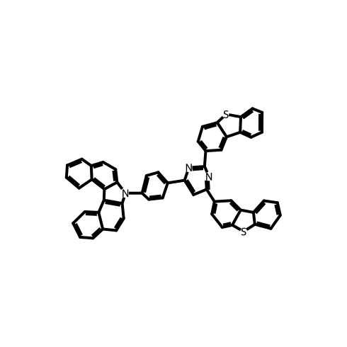 c1ccc2c(c1)ccc1c2c2c3ccccc3ccc2n1-c1ccc(-c2cc(-c3ccc4sc5ccccc5c4c3)nc(-c3ccc4sc5ccccc5c4c3)n2)cc1